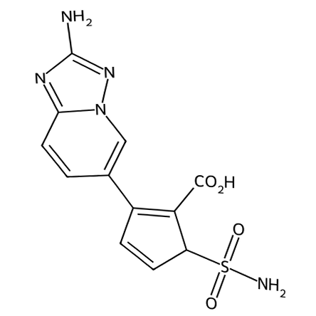 Nc1nc2ccc(C3=C(C(=O)O)C(S(N)(=O)=O)C=C3)cn2n1